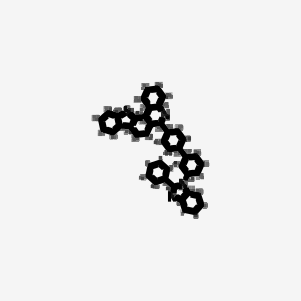 c1ccc(-c2nc3ccccc3n2-c2cccc(-c3ccc(-c4nc5ccccc5c5c4ccc4c6ccccc6sc45)cc3)c2)cc1